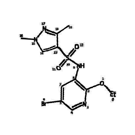 CCOc1ncc(Br)cc1NS(=O)(=O)c1cn(C)nc1C